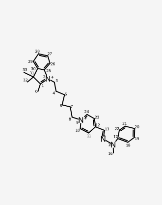 CC1=[N+](CCCCCC[n+]2ccc(/C=N/N(C)c3ccccc3)cc2)c2ccccc2C1(C)C